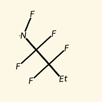 CCC(F)(F)C(F)(F)[N]F